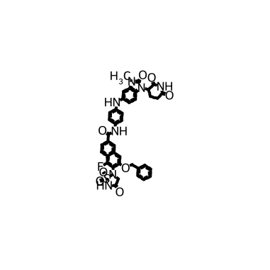 Cn1c(=O)n(C2CCC(=O)NC2=O)c2ccc(Nc3ccc(NC(=O)c4ccc5c(F)c(N6CC(=O)NS6(=O)=O)c(OCc6ccccc6)cc5c4)cc3)cc21